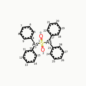 O=S(=O)([As](c1ccccc1)c1ccccc1)[As](c1ccccc1)c1ccccc1